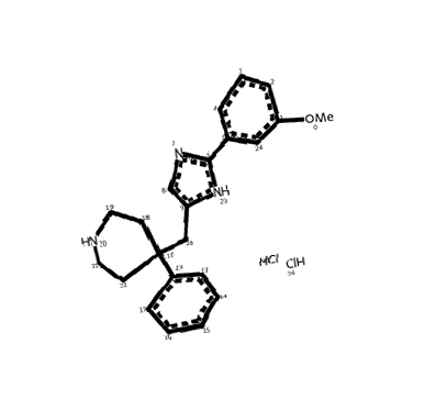 COc1cccc(-c2ncc(CC3(c4ccccc4)CCNCC3)[nH]2)c1.Cl.Cl